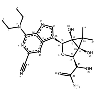 CCN(CC)c1nc(C#N)nc2c1ncn2[C@@H]1O[C@H](C(O)C(N)=O)[C@@]2(O)C(C)(C)[C@@]12O